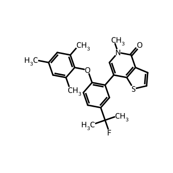 Cc1cc(C)c(Oc2ccc(C(C)(C)F)cc2-c2cn(C)c(=O)c3ccsc23)c(C)c1